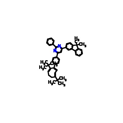 CC(C)(C)\C1=C/C=C(c2ccc(-c3cc(-c4ccc5c(c4)-c4ccccc4C5(C)C)nc(-c4ccccc4)n3)cc2)\C(C(C)(C)C)=C/CC1